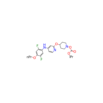 CCCOc1cc(F)c(Nc2ccnc(OC3CCN(OC(=O)OC(C)C)CC3)c2)cc1F